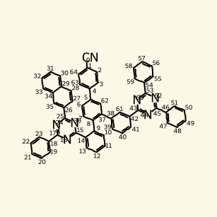 N#Cc1ccc(-c2ccc(-c3ccccc3-c3nc(-c4ccccc4)nc(-c4ccc5ccccc5c4)n3)c(-c3cccc(-c4nc(-c5ccccc5)nc(-c5ccccc5)n4)c3)c2)cc1